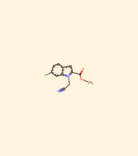 COC(=O)c1cc2ccc(F)cc2n1CC#N